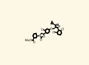 COC(=O)c1cccc(N2CC(c3ccc(OCc4c(-c5c(Cl)cccc5Cl)noc4C4CC4)cc3Cl)OC2=O)c1